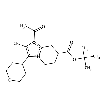 CC(C)(C)OC(=O)N1CCn2c(c(C(N)=O)c(Cl)c2C2CCOCC2)C1